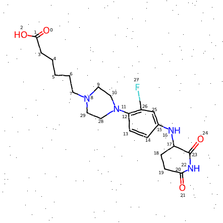 O=C(O)CCCCCN1CCN(c2ccc(NC3CCC(=O)NC3=O)cc2F)CC1